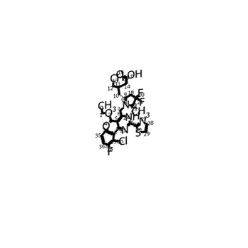 CCOC(=O)C1=C(CN2[C@H](CC(CC)CC(=O)O)CC(F)(F)[C@@H]2C)NC(c2nccs2)=N[C@H]1c1cccc(F)c1Cl